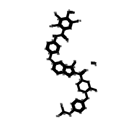 Br.COc1c(F)cc(C(=O)Nc2ccc(Oc3ccc4cc(C(=O)N5CCN(Cc6ccc(OC(F)F)cc6)C(C)C5)n(C)c4c3)nc2)c(F)c1F